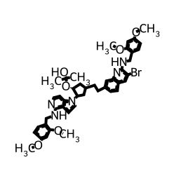 COc1ccc(CNc2nc3cc(CCC4CC(n5ccc6c(NCc7ccc(OC)cc7OC)nccc65)[C@H](OC(C)(C)O)C4)ccc3cc2Br)c(OC)c1